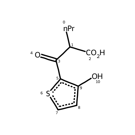 CCCC(C(=O)O)C(=O)c1sccc1O